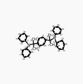 CCC(C)(c1ccc(C(C)(C)N(c2ccccc2)c2ccccc2)cc1)N(c1ccccc1)c1ccccc1